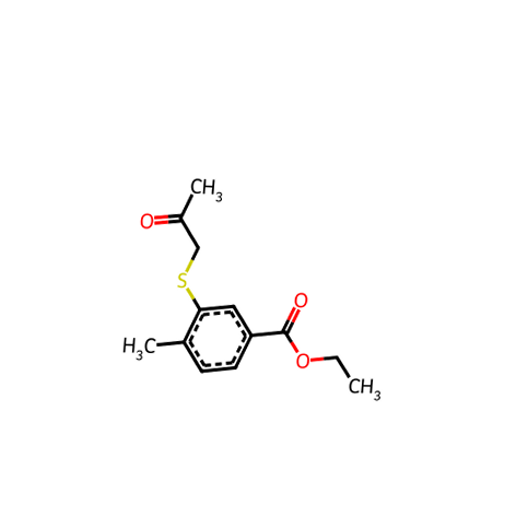 CCOC(=O)c1ccc(C)c(SCC(C)=O)c1